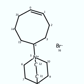 C1=CCCC([N+]23CCC(CC2)CC3)CCC1.[Br-]